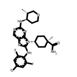 C[C@@H]1COCC[C@H]1Nc1ncc2nc(Nc3c(F)cc(Cl)cc3F)n([C@H]3CC[C@](C)(C(N)=O)CC3)c2n1